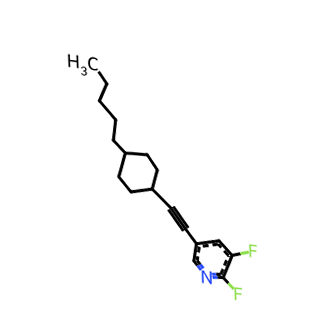 CCCCCC1CCC(C#Cc2cnc(F)c(F)c2)CC1